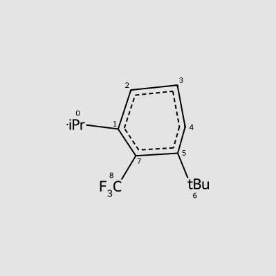 C[C](C)c1cccc(C(C)(C)C)c1C(F)(F)F